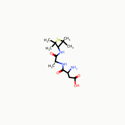 C[C@@H](NC(=O)C(N)CC(=O)O)C(=O)NC1C(C)(C)SC1(C)C